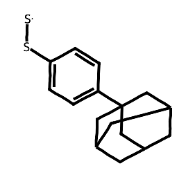 [S]Sc1ccc(C23CC4CC(CC(C4)C2)C3)cc1